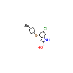 CC(C)(C)c1ccc(Sc2cc(Cl)cc3[nH]c(CO)cc23)cc1